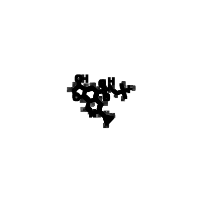 CC(C)(F)CNS(=O)(=O)c1cc2c(c3cnc(C4CC4)cc13)OCC2O